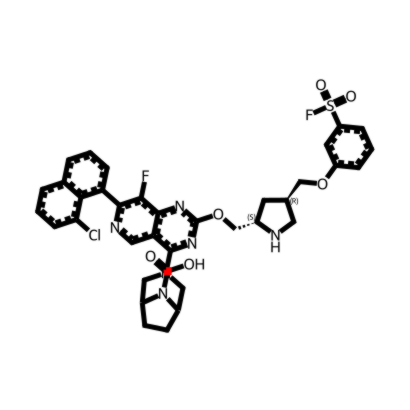 O=C(O)N1C2CCC1CN(c1nc(OC[C@@H]3C[C@@H](COc4cccc(S(=O)(=O)F)c4)CN3)nc3c(F)c(-c4cccc5cccc(Cl)c45)ncc13)C2